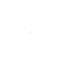 O=C(COC1(OC(F)(F)F)CCC1)NC12CC(CO)(C1)C2